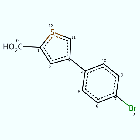 O=C(O)c1cc(-c2ccc(Br)cc2)cs1